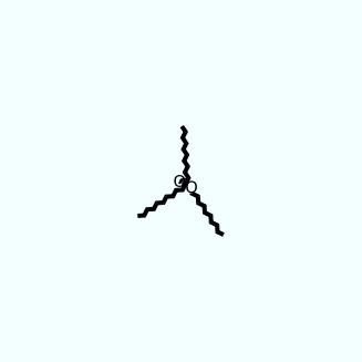 CCCCCCCCCCOP(=O)(CCCCCCCCCC)CCCCCCCCCC